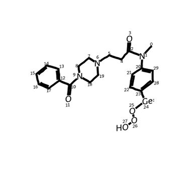 CN(C(=O)CCN1CCN(C(=O)c2ccccc2)CC1)c1cc[c]([Ge][O]OO)cc1